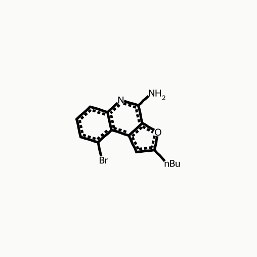 CCCCc1cc2c(o1)c(N)nc1cccc(Br)c12